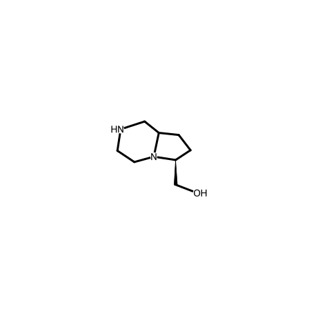 OC[C@@H]1CCC2CNCCN21